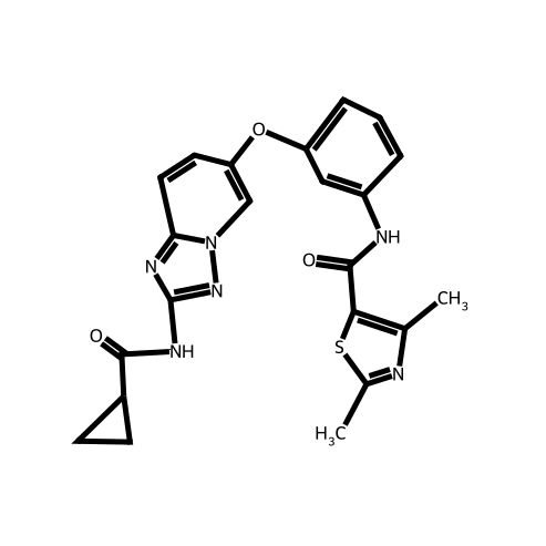 Cc1nc(C)c(C(=O)Nc2cccc(Oc3ccc4nc(NC(=O)C5CC5)nn4c3)c2)s1